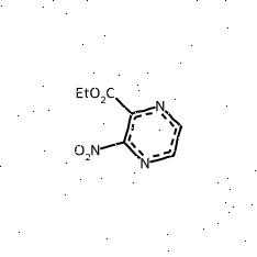 CCOC(=O)c1nccnc1[N+](=O)[O-]